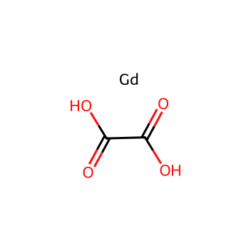 O=C(O)C(=O)O.[Gd]